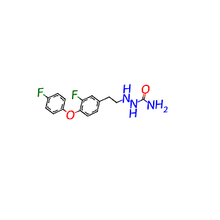 NC(=O)NNCCc1ccc(Oc2ccc(F)cc2)c(F)c1